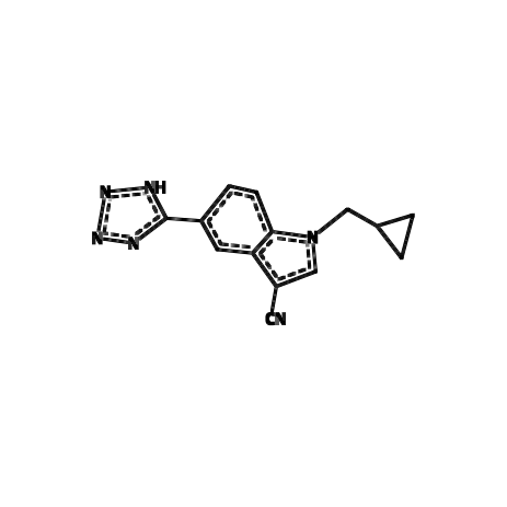 N#Cc1cn(CC2CC2)c2ccc(-c3nnn[nH]3)cc12